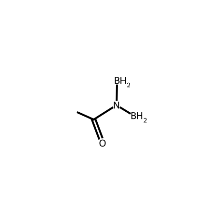 BN(B)C(C)=O